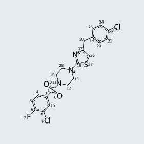 O=S(=O)(c1ccc(F)c(Cl)c1)N1CCN(c2nc(Cc3ccc(Cl)cc3)cs2)CC1